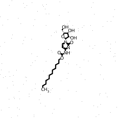 CCCCCCCCCCCCOC(=O)Nc1ccn([C@@H]2O[C@H](CO)[C@@H](O)[C@@H]2O)c(=O)n1